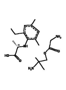 CC(C)(N)COC(=O)CN.CCc1cc(C)cc(C)c1N[C@@H](C)C(=O)O